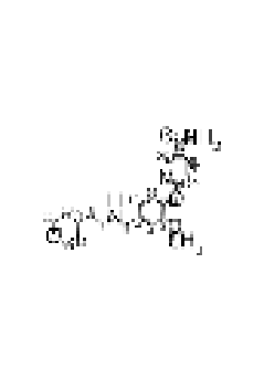 COc1cc(CNCCC2CCOCC2)ccc1Oc1cnc(C(N)=O)cn1